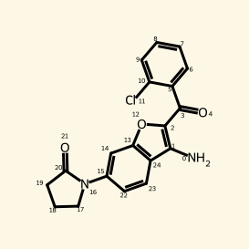 Nc1c(C(=O)c2ccccc2Cl)oc2cc(N3CCCC3=O)ccc12